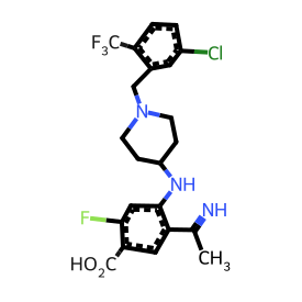 CC(=N)c1cc(C(=O)O)c(F)cc1NC1CCN(Cc2cc(Cl)ccc2C(F)(F)F)CC1